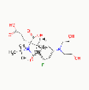 CC(C)(C)N(C(=O)c1ccc(N(CCO)CCO)cc1F)[C@@](CCC(=O)O)(C(=O)O)C(C)(C)C